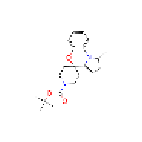 Cc1ccc2n1-c1ccccc1OC21CCN(C(=O)OC(C)(C)C)CC1